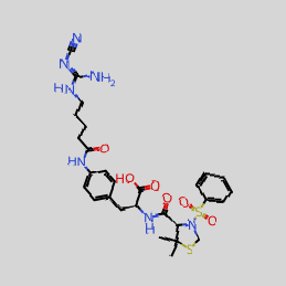 CC1(C)SCN(S(=O)(=O)c2ccccc2)[C@@H]1C(=O)N[C@@H](Cc1ccc(NC(=O)CCCCN/C(N)=N/C#N)cc1)C(=O)O